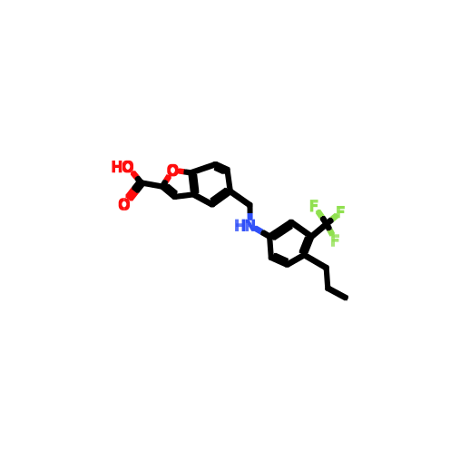 CCCc1ccc(NCc2ccc3oc(C(=O)O)cc3c2)cc1C(F)(F)F